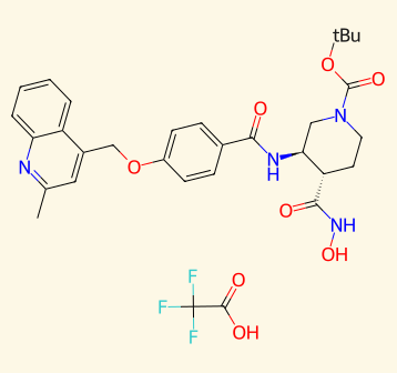 Cc1cc(COc2ccc(C(=O)N[C@H]3CN(C(=O)OC(C)(C)C)CC[C@@H]3C(=O)NO)cc2)c2ccccc2n1.O=C(O)C(F)(F)F